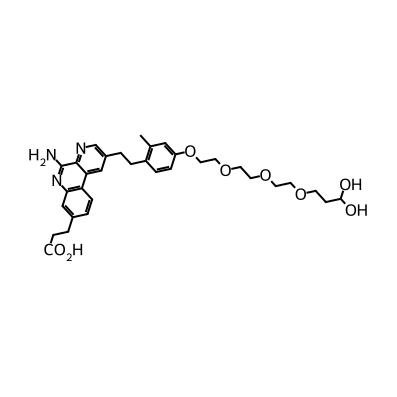 Cc1cc(OCCOCCOCCOCCC(O)O)ccc1CCc1cnc2c(N)nc3cc(CCC(=O)O)ccc3c2c1